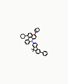 CC1(C)c2ccc(-c3ccccc3)cc2-c2ccc(N(c3ccc(C4CC5CCC4C5)cc3)c3ccccc3-c3ccccc3C3CCCCC3)cc21